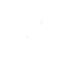 Cc1c([C@H](C)C(=O)NCCC(=O)O)c2c(F)c(O)c(F)cc2n1C(=O)c1cccc(F)c1